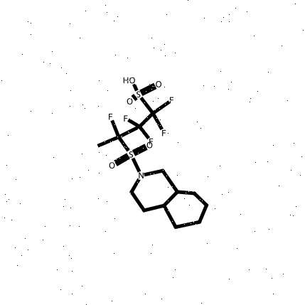 CC(F)(C(F)(F)C(F)(F)S(=O)(=O)O)S(=O)(=O)N1CCC2CCCCC2C1